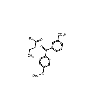 CCCC(=O)O.CCCCCCCCCCOc1ccc(C(=O)c2cccc(C(=O)O)c2)cc1